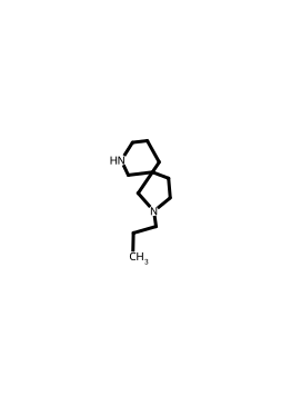 CCCN1CCC2(CCCNC2)C1